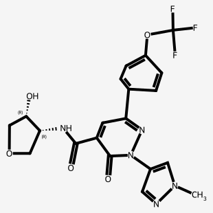 Cn1cc(-n2nc(-c3ccc(OC(F)(F)F)cc3)cc(C(=O)N[C@@H]3COC[C@@H]3O)c2=O)cn1